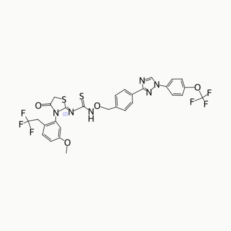 COc1ccc(CC(F)(F)F)c(N2C(=O)CS/C2=N\C(=S)NOCc2ccc(-c3ncn(-c4ccc(OC(F)(F)F)cc4)n3)cc2)c1